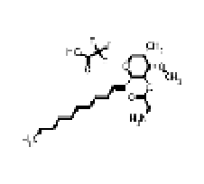 CCCCCCCCC/C=C/[C@@H]1OC[C@H](C)[C@H](OC)[C@H]1OC(=O)CN.O=C(O)C(F)(F)F